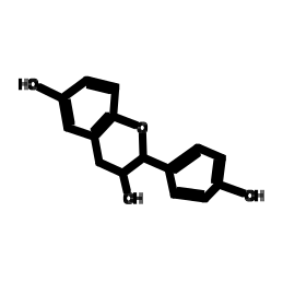 Oc1ccc(C2Oc3ccc(O)cc3CC2O)cc1